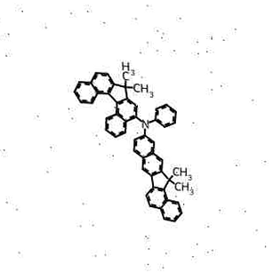 CC1(C)c2ccc3ccccc3c2-c2c1cc(N(c1ccccc1)c1ccc3cc4c(cc3c1)C(C)(C)c1c-4ccc3ccccc13)c1ccccc21